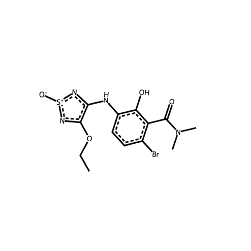 CCOc1n[s+]([O-])nc1Nc1ccc(Br)c(C(=O)N(C)C)c1O